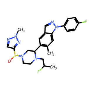 Cc1cc2c(cnn2-c2ccc(F)cc2)cc1C1CN([S+]([O-])c2cnn(C)n2)CCN1CC(C)F